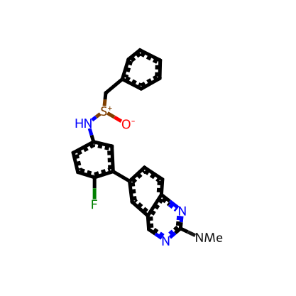 CNc1ncc2cc(-c3cc(N[S+]([O-])Cc4ccccc4)ccc3F)ccc2n1